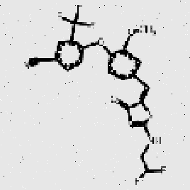 COc1cc(/C=C2/SC(NCC(F)F)=NC2=O)ccc1Oc1ccc(C#N)cc1C(F)(F)F